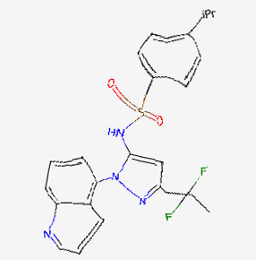 CC(C)c1ccc(S(=O)(=O)Nc2cc(C(C)(F)F)nn2-c2cccc3ncccc23)cc1